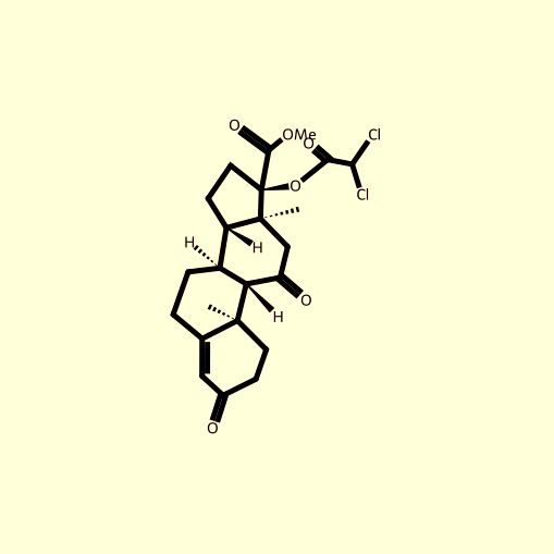 COC(=O)[C@@]1(OC(=O)C(Cl)Cl)CC[C@H]2[C@@H]3CCC4=CC(=O)CC[C@]4(C)[C@H]3C(=O)C[C@@]21C